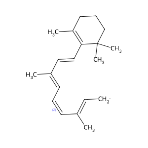 [CH2]C=C(C)/C=C\C=C(C)C=CC1=C(C)CCCC1(C)C